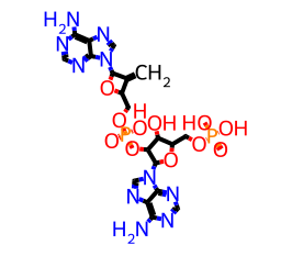 C=C1C(COP(=O)(O)OC2C(O)C(COP(=O)(O)O)OC2n2cnc3c(N)ncnc32)OC1n1cnc2c(N)ncnc21